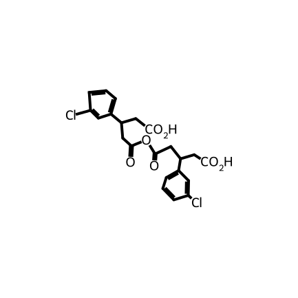 O=C(O)CC(CC(=O)OC(=O)CC(CC(=O)O)c1cccc(Cl)c1)c1cccc(Cl)c1